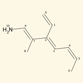 C=CC(=C\C=C/C)/C(C)=C/N